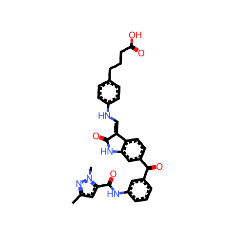 Cc1cc(C(=O)Nc2cccc(C(=O)c3ccc4c(c3)NC(=O)C4=CNc3ccc(CCCC(=O)O)cc3)c2)n(C)n1